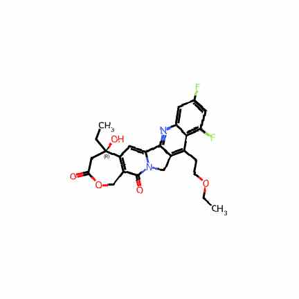 CCOCCc1c2c(nc3cc(F)cc(F)c13)-c1cc3c(c(=O)n1C2)COC(=O)C[C@]3(O)CC